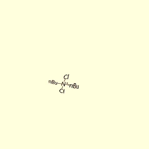 CCCC[N+](Cl)(Cl)CCCC